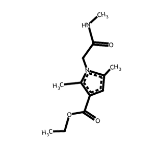 CCOC(=O)c1cc(C)n(CC(=O)NC)c1C